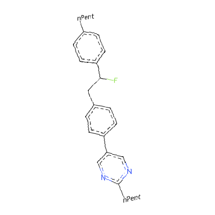 CCCCCc1ccc(C(F)Cc2ccc(-c3cnc(CCCCC)nc3)cc2)cc1